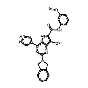 COc1cccc(NC(=O)c2nn3c(-c4cn[nH]c4)cc(N4Cc5ccccc5C4)nc3c2C(C)(C)C)c1